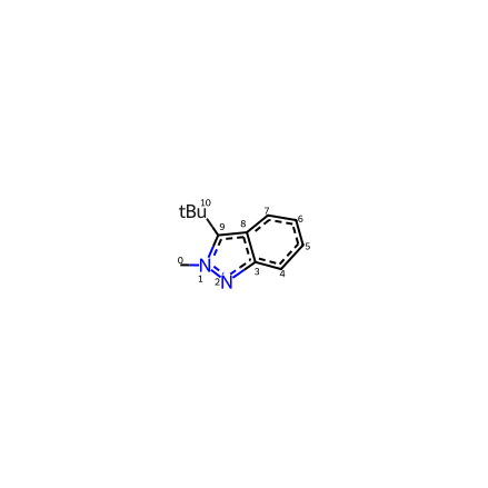 Cn1nc2ccccc2c1C(C)(C)C